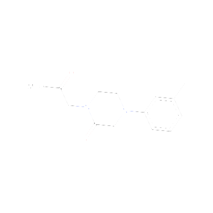 COC(=O)CN1CCN(c2cccc(C)c2)CC1=O